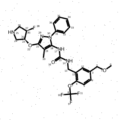 COCc1ccc(OC(F)(F)F)c(CNC(=O)Nc2c(C)c(O[C@H]3CNC[C@H]3F)nn2-c2ccccc2)c1